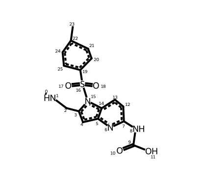 CNCc1cc2nc(NC(=O)O)ccc2n1S(=O)(=O)c1ccc(C)cc1